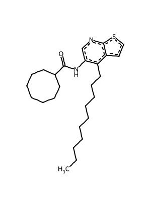 CCCCCCCCCCc1c(NC(=O)C2CCCCCCC2)cnc2sccc12